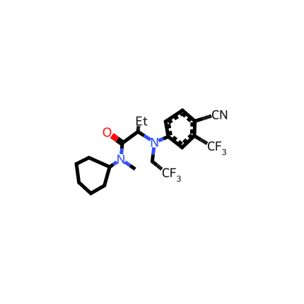 CCC(C(=O)N(C)C1CCCCC1)N(CC(F)(F)F)c1ccc(C#N)c(C(F)(F)F)c1